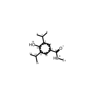 CC(C)c1cc(C(=O)BI)cc(C(C)C)c1O